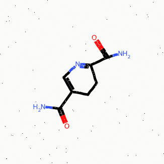 NC(=O)C1=CN=C(C(N)=O)CC1